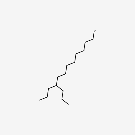 [CH2]CCCCCCCCC(CCC)CCC